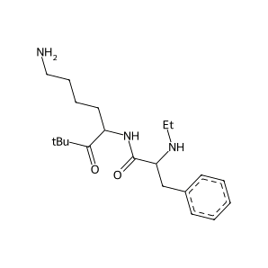 CCNC(Cc1ccccc1)C(=O)NC(CCCCN)C(=O)C(C)(C)C